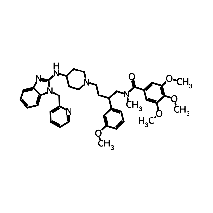 COc1cccc(C(CCN2CCC(Nc3nc4ccccc4n3Cc3ccccn3)CC2)CN(C)C(=O)c2cc(OC)c(OC)c(OC)c2)c1